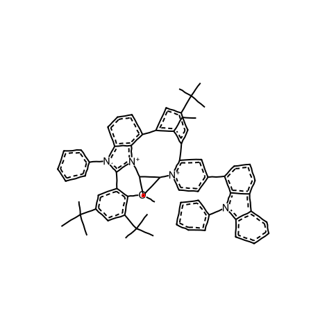 CCc1c2cc(C(C)(C)C)cc1-c1cc(-c3cccc4c5ccccc5n(-c5ccccc5)c34)cc[n+]1C1CC1[n+]1c(-c3cc(C(C)(C)C)cc(C(C)(C)C)c3OC)n(-c3ccccc3)c3cccc-2c31